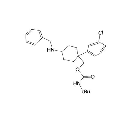 CC(C)(C)NC(=O)OCC1(c2cccc(Cl)c2)CCC(NCc2ccccc2)CC1